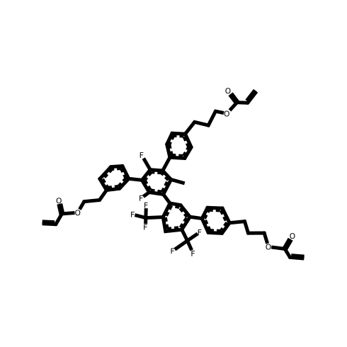 C=CC(=O)OCCCc1ccc(-c2cc(-c3c(C)c(-c4ccc(CCCOC(=O)C=C)cc4)c(F)c(-c4cccc(CCOC(=O)C=C)c4)c3F)c(C(F)(F)F)cc2C(F)(F)F)cc1